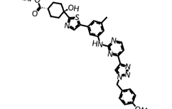 COc1ccc(Cn2cc(-c3ccnc(Nc4cc(C)cc(-c5cnc([C@]6(O)CC[C@H](C(=O)OC(C)(C)C)CC6)s5)c4)n3)nn2)cc1